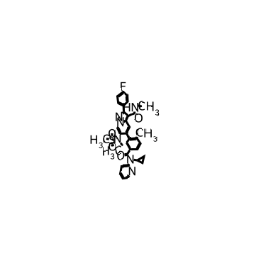 CCN(c1cn2nc(-c3ccc(F)cc3)c(C(=O)NC)c2cc1-c1cc(C(=O)N(c2ccccn2)C2CC2)ccc1C)S(C)(=O)=O